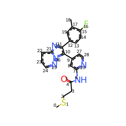 CSCCC(=O)Nc1cc(-c2c(-c3ccc(F)c(C)c3)nc3cccnn23)ccn1